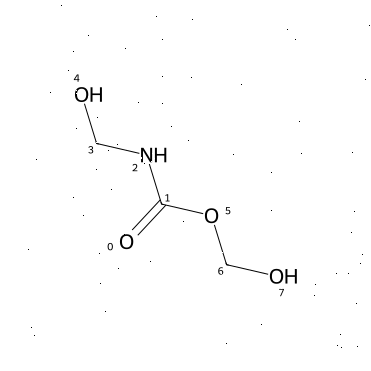 O=C(NCO)OCO